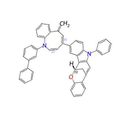 C=C1/C=C(c2ccc3c(c2)c2c(n3-c3ccccc3)C=C3C[C@@H]2Oc2ccccc23)\C=C/N(c2cccc(-c3ccccc3)c2)c2ccccc21